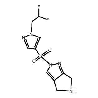 O=S(=O)(c1cnn(CC(F)F)c1)n1cc2c(n1)CNC2